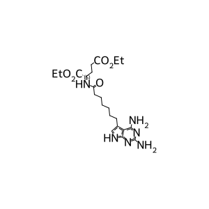 CCOC(=O)CC[C@H](NC(=O)CCCCCCc1c[nH]c2nc(N)nc(N)c12)C(=O)OCC